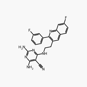 N#Cc1c(N)nc(N)nc1NCCc1cc2ccc(F)cc2nc1-c1cccc(F)c1